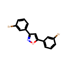 Brc1cccc(-c2cc(-c3cccc(Br)c3)on2)c1